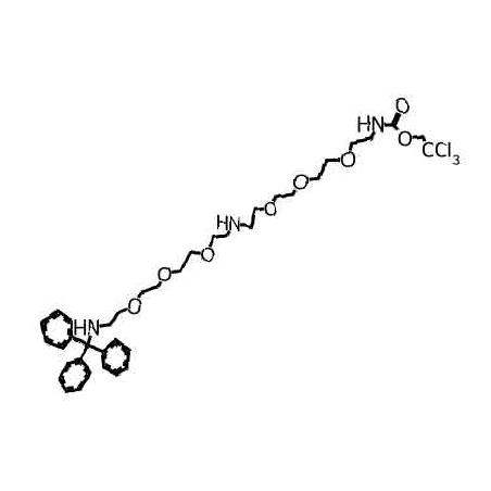 O=C(NCCOCCOCCOCCNCCOCCOCCOCCNC(c1ccccc1)(c1ccccc1)c1ccccc1)OCC(Cl)(Cl)Cl